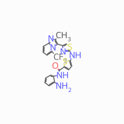 Cc1nc2cccc(C(F)(F)F)n2c1-c1csc(Nc2ccc(C(=O)Nc3ccccc3N)s2)n1